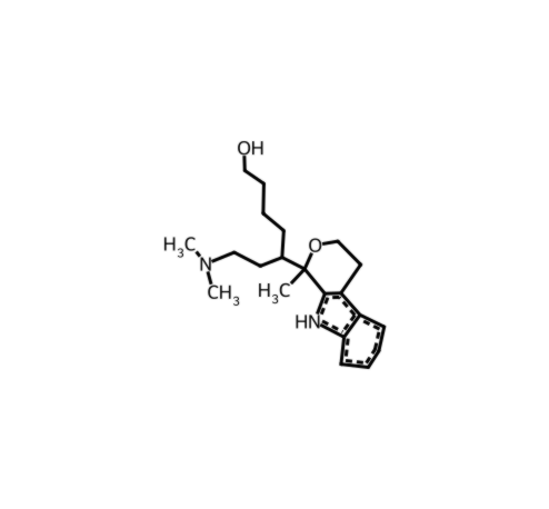 CN(C)CCC(CCCCO)C1(C)OCCc2c1[nH]c1ccccc21